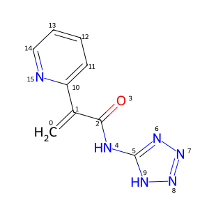 C=C(C(=O)Nc1nnn[nH]1)c1ccccn1